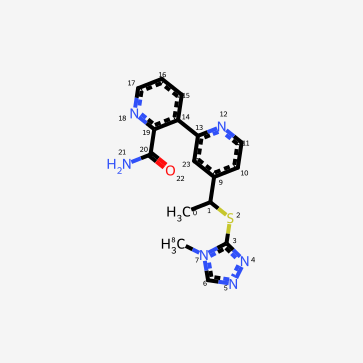 CC(Sc1nncn1C)c1ccnc(-c2cccnc2C(N)=O)c1